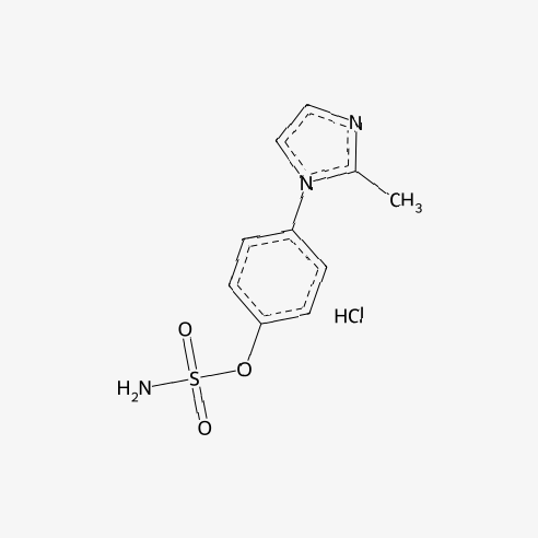 Cc1nccn1-c1ccc(OS(N)(=O)=O)cc1.Cl